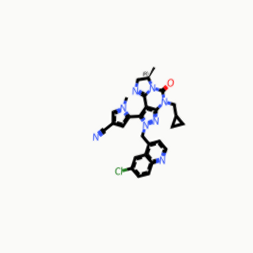 C[C@@H]1CN=C2c3c(nn(Cc4ccnc5ccc(Cl)cc45)c3-c3cc(C#N)cn3C)N(CC3CC3)C(=O)N21